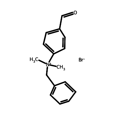 C[N+](C)(Cc1ccccc1)c1ccc(C=O)cc1.[Br-]